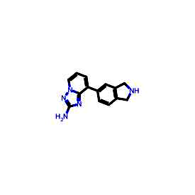 Nc1nc2c(-c3ccc4c(c3)CNC4)cccn2n1